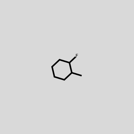 CC1CCCCC1F